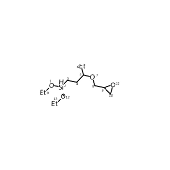 CCO[SiH](CCC(CC)OCC1CO1)OCC